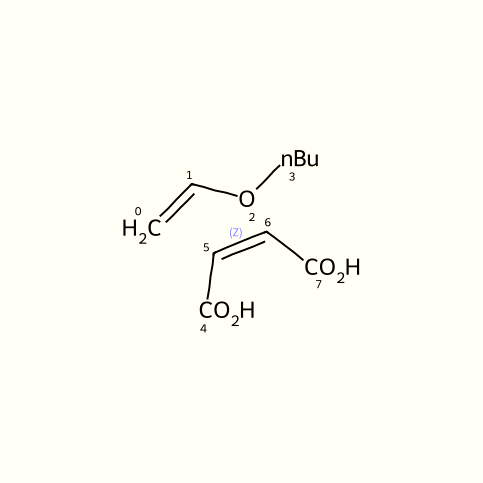 C=COCCCC.O=C(O)/C=C\C(=O)O